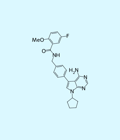 COc1ccc(F)cc1C(=O)NCc1ccc(-c2cn(C3CCCC3)c3ncnc(N)c23)cc1